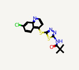 CC(C)(C)C(=O)Nc1nnc(Sc2ccnc3cc(Cl)ccc23)s1